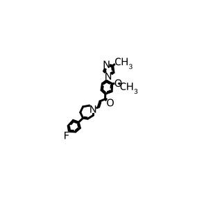 COc1cc(C(=O)/C=C/N2CC=C(c3ccc(F)cc3)CCC2)ccc1-n1cnc(C)c1